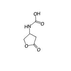 O=C(O)NC1COC(=O)C1